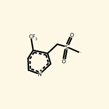 [CH2]S(=O)(=O)Cc1cnccc1C(F)(F)F